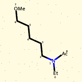 CCN(CCCCCOC)C(C)=O